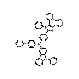 c1ccc(-c2ccc(N(c3ccc(-c4nc5c6ccccc6c6ccccc6c5n4-c4ccccc4)cc3)c3ccc4c(c3)c3ccccc3n4-c3ccccc3)cc2)cc1